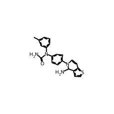 Cc1cccc(N(C(N)=O)c2ccc(N3C=Cc4sccc4C3N)cc2)c1